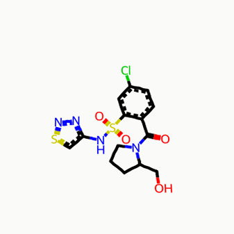 O=C(c1ccc(Cl)cc1S(=O)(=O)Nc1csnn1)N1CCCC1CO